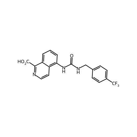 O=C(NCc1ccc(C(F)(F)F)cc1)Nc1cccc2c(C(=O)O)nccc12